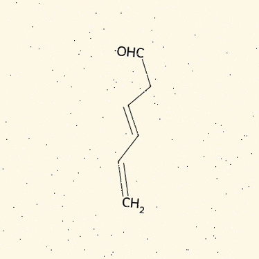 C=CC=CC[C]=O